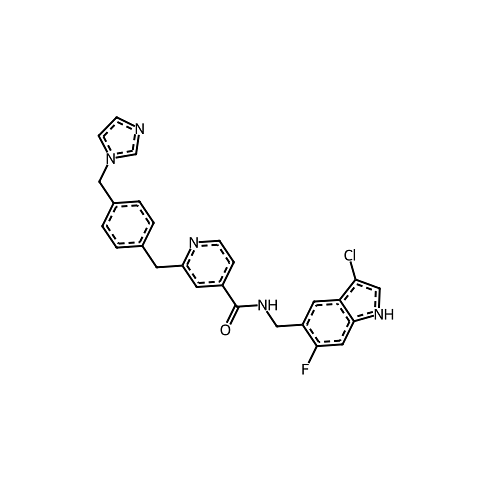 O=C(NCc1cc2c(Cl)c[nH]c2cc1F)c1ccnc(Cc2ccc(Cn3ccnc3)cc2)c1